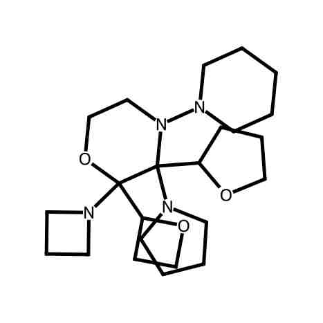 C1CCN(N2CCOC(C3CCO3)(N3CCC3)C2(C2CCCO2)N2CCCC2)CC1